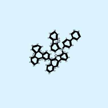 c1ccc(-c2ccc(N(c3cccc4c3oc3ccccc34)c3cccc4c3oc3c(-c5ccc6c7ccccc7c7ccccc7c6c5)c5ccccc5cc34)cc2)cc1